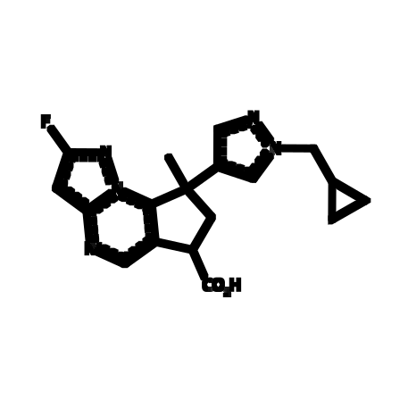 CC1(c2cnn(CC3CC3)c2)CC(C(=O)O)c2cnc3cc(F)nn3c21